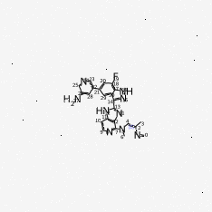 C=N/C(C)=C\N(C)c1nccc2[nH]c(-c3n[nH]c4c(F)cc(-c5cncc(N)c5)cc34)nc12